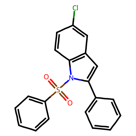 O=S(=O)(c1ccccc1)n1c(-c2ccccc2)cc2cc(Cl)ccc21